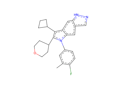 Cc1cc(-n2c(C3CCOCC3)c(C3CCC3)c3cc4[nH]ncc4cc32)ccc1F